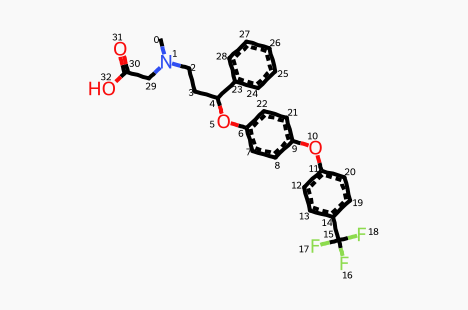 CN(CCC(Oc1ccc(Oc2ccc(C(F)(F)F)cc2)cc1)c1ccccc1)CC(=O)O